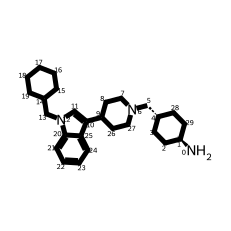 N[C@H]1CC[C@H](CN2CCC(c3cn(CC4CCCCC4)c4ccccc34)CC2)CC1